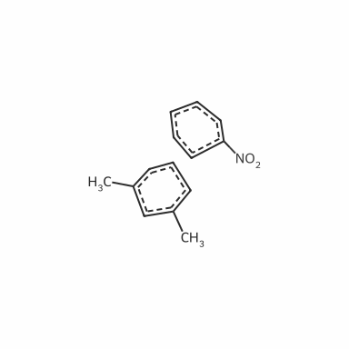 Cc1cccc(C)c1.O=[N+]([O-])c1ccccc1